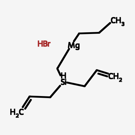 Br.C=CC[SiH](CC=C)[CH2][Mg][CH2]CC